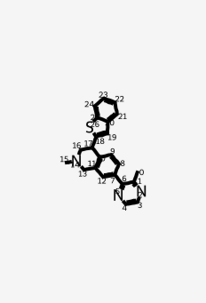 Cc1nccnc1-c1ccc2c(c1)CN(C)CC2c1cc2ccccc2s1